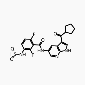 O=C(Nc1cnc2[nH]cc(C(=O)C3CCCC3)c2c1)c1c(F)ccc(N[SH](=O)=O)c1F